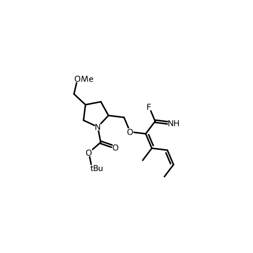 C/C=C\C(C)=C(\OCC1CC(COC)CN1C(=O)OC(C)(C)C)C(=N)F